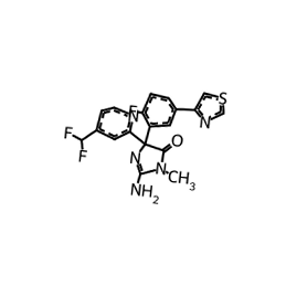 CN1C(=O)C(c2cc(C(F)F)ccn2)(c2cc(-c3cscn3)ccc2F)N=C1N